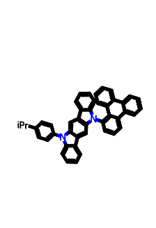 CC(C)c1ccc(-n2c3ccccc3c3cc4c(cc32)c2ccccc2n4-c2cccc3c4ccccc4c4ccccc4c23)cc1